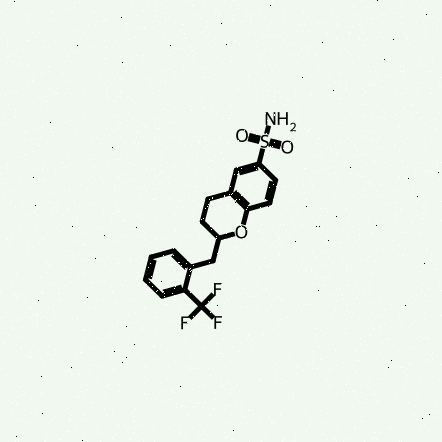 NS(=O)(=O)c1ccc2c(c1)CCC(Cc1ccccc1C(F)(F)F)O2